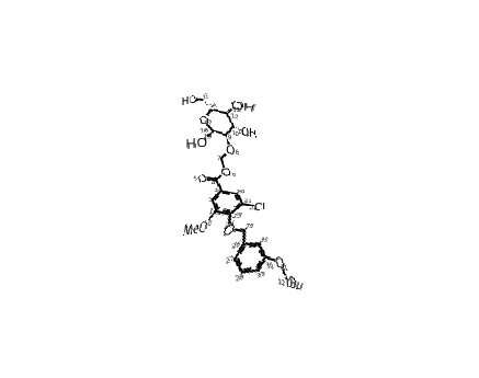 COc1cc(C(=O)OCO[C@@H]2[C@@H](O)[C@H](O)[C@@H](CO)O[C@@H]2O)cc(Cl)c1OCc1cccc(OC(C)(C)C)c1